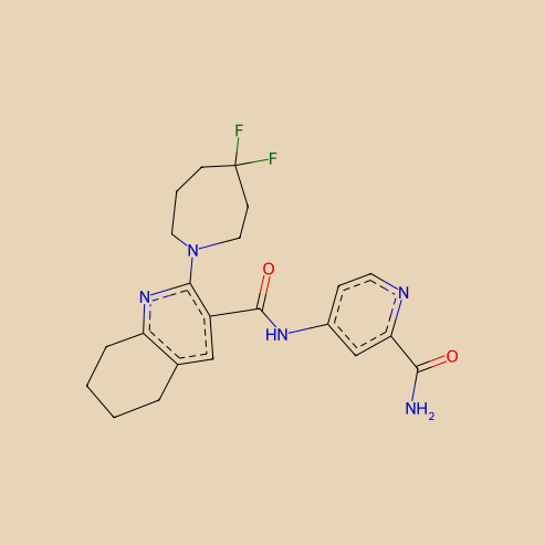 NC(=O)c1cc(NC(=O)c2cc3c(nc2N2CCCC(F)(F)CC2)CCCC3)ccn1